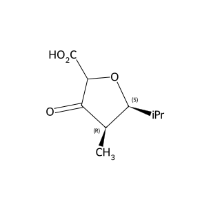 CC(C)[C@@H]1OC(C(=O)O)C(=O)[C@@H]1C